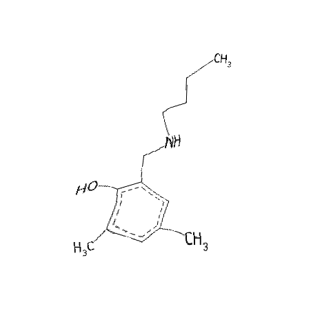 CCCCNCc1cc(C)cc(C)c1O